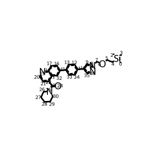 C[Si](C)(C)CCOCn1cc(-c2ccc(-c3ccc4nccc(C(=O)N5CCCCC5)c4c3)cc2)cn1